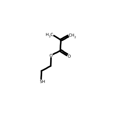 C=C(C)C(=O)OCCS